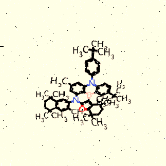 Cc1cc2c3c(c1)N(c1cc4c(cc1C)C(C)(C)CCC4(C)C)c1oc4c(c1B3c1cc(C(C)(C)C)ccc1N2c1ccc(C(C)(C)C)cc1)C(C)(C)CCC4(C)C